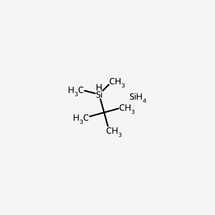 C[SiH](C)C(C)(C)C.[SiH4]